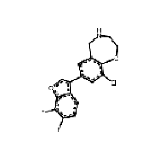 Fc1ccc2c(-c3cc(Cl)c4c(c3)CNCCO4)coc2c1F